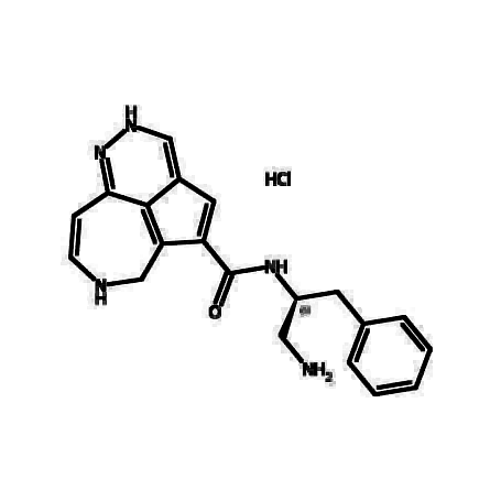 Cl.NC[C@H](Cc1ccccc1)NC(=O)c1cc2c[nH]nc3c-2c1CNC=C3